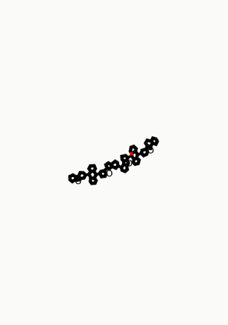 c1ccc2c(c1)ccc1c3cc(-c4c5ccccc5c(-c5cccc6c5oc5cccc(-c7ccc8ccc9c%10cc(-c%11c%12ccccc%12c(-c%12ccc%13c(c%12)oc%12ccccc%12%13)c%12ccccc%11%12)ccc%10oc9c8c7)c56)c5ccccc45)ccc3oc21